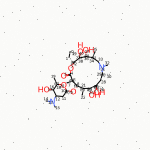 CC[C@H]1OC(=O)[C@H](C)[C@@H](O[C@H]2CC(N(C)C)C(O)[C@@H](C)O2)[C@H](C)[C@@H](O)[C@](C)(O)C[C@@H](C)N(C)C[C@H](C)[C@@H](O)[C@]1(C)O